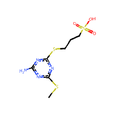 CSc1nc(N)nc(SCCCS(=O)(=O)O)n1